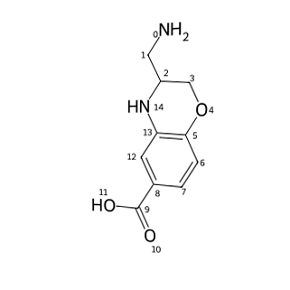 NCC1COc2ccc(C(=O)O)cc2N1